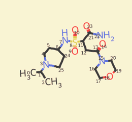 CC(C)N1CCC(NS(=O)(=O)C(CC(=O)N2CCOCC2)C(N)=O)CC1